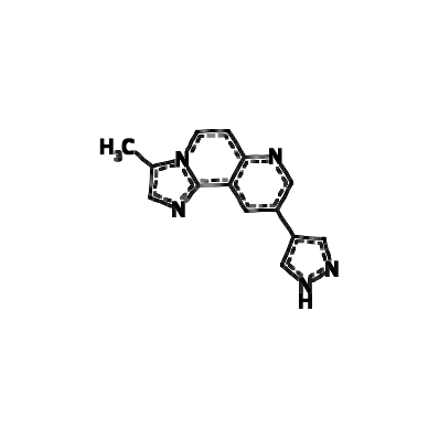 Cc1cnc2c3cc(-c4cn[nH]c4)cnc3ccn12